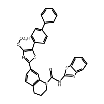 O=C(O)Oc1nc(-c2ccc3c(c2)N(C(=O)Nc2nc4ccccc4s2)CCC3)sc1-c1ccc(-c2ccccc2)cc1